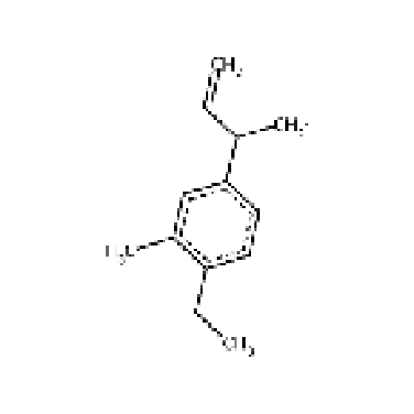 [CH2]C(C=C)c1ccc(CC)c(C)c1